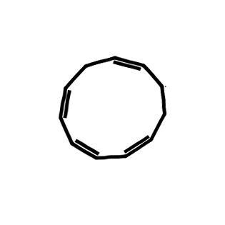 [CH]1/C=C\C\C=C/C=C\C=C/C1